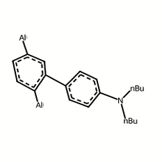 CCCCN(CCCC)c1ccc(-c2c[c]([Al])cc[c]2[Al])cc1